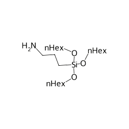 CCCCCCO[Si](CCCN)(OCCCCCC)OCCCCCC